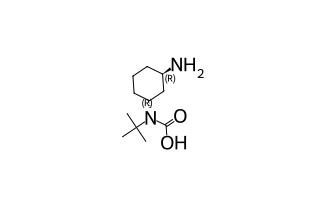 CC(C)(C)N(C(=O)O)[C@@H]1CCC[C@@H](N)C1